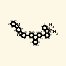 CC1(C)c2ccccc2-c2c(-c3ccc4c5ccc(-c6ccc7oc8cc9c(cc8c7c6)oc6ccccc69)cc5c5ccccc5c4c3)cccc21